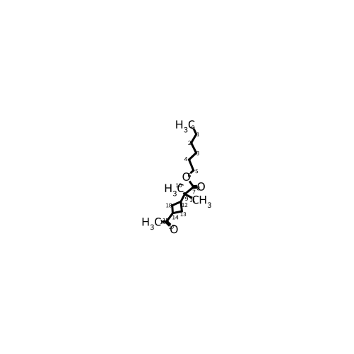 CCCCCCOC(=O)C(C)(C)C1CC(C(C)=O)C1